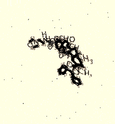 C[C@]1(C(=O)OC(c2ccccc2)c2ccccc2)CC[C@]2(C)CC[C@]3(C)C(=CC(=O)[C@@H]4[C@@]5(C)CC[C@H](OC(=O)NCCN6CCOCC6)[C@@](C)(C=O)[C@@H]5CC[C@]43C)[C@@H]2C1